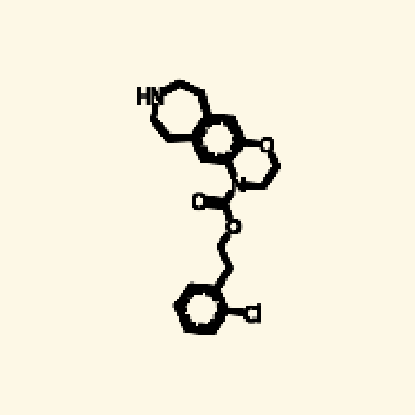 O=C(OCCc1ccccc1Cl)N1CCOc2cc3c(cc21)CCNCC3